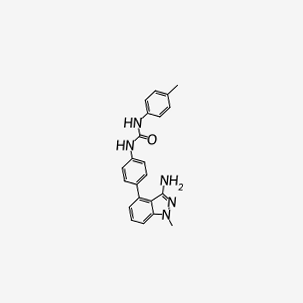 Cc1ccc(NC(=O)Nc2ccc(-c3cccc4c3c(N)nn4C)cc2)cc1